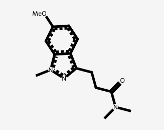 COc1ccc2c(CCC(=O)N(C)C)nn(C)c2c1